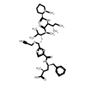 C#CCO[C@H](C[C@H](C(C)C)N(C)C(=O)[C@@H](NC(=O)[C@H]1CCCCN1C)[C@@H](C)CC)c1nc(C(=O)N[C@@H](Cc2ccccc2)C[C@H](C)C(=O)O)cs1